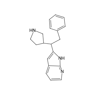 c1ccc(CC(c2cc3cccnc3[nH]2)C2CCNC2)cc1